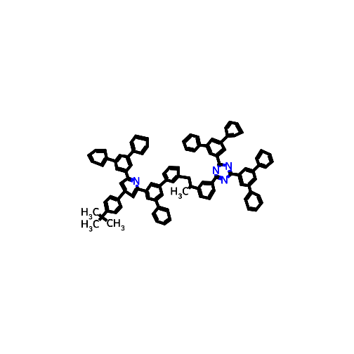 CC(Cc1cccc(-c2cc(-c3ccccc3)cc(-c3cc(-c4ccc(C(C)(C)C)cc4)cc(-c4cc(-c5ccccc5)cc(-c5ccccc5)c4)n3)c2)c1)c1cccc(-c2nc(-c3cc(-c4ccccc4)cc(-c4ccccc4)c3)nc(-c3cc(-c4ccccc4)cc(-c4ccccc4)c3)n2)c1